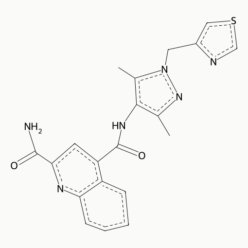 Cc1nn(Cc2cscn2)c(C)c1NC(=O)c1cc(C(N)=O)nc2ccccc12